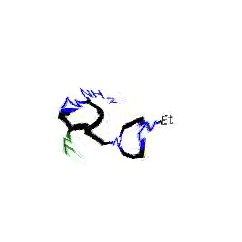 CCN1CCN(Cc2cc(N)ncc2F)CC1